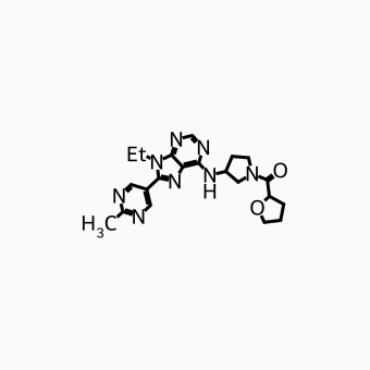 CCn1c(-c2cnc(C)nc2)nc2c(NC3CCN(C(=O)C4CCCO4)C3)ncnc21